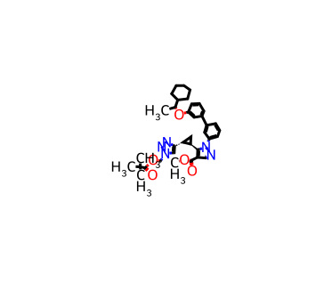 COC(=O)c1cnn(-c2cccc(-c3cccc(OC(C)C4CCCCC4)c3)c2)c1[C@@H]1C[C@H]1c1cn(COC(=O)C(C)(C)C)nn1